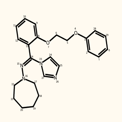 c1ccc(OCCOc2ccccc2C(=NN2CCCCCC2)n2ccnc2)cc1